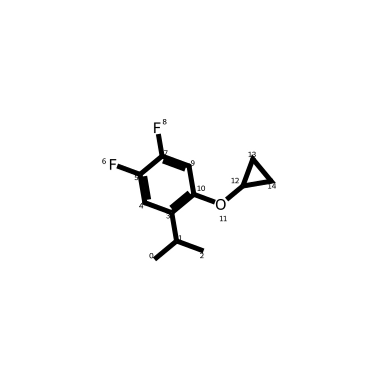 CC(C)c1cc(F)c(F)cc1OC1CC1